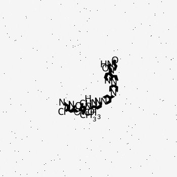 CC1(C)[C@H](NC(=O)c2ccc(N3CCC(CN4CCC(n5ccc6c(N7CCC(=O)NC7=O)ccnc65)CC4)CC3)nn2)C(C)(C)[C@H]1Oc1cnc(C#N)c(Cl)c1